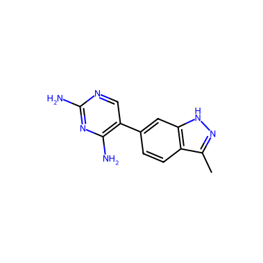 Cc1n[nH]c2cc(-c3cnc(N)nc3N)ccc12